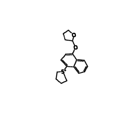 c1ccc2c([S+]3CCCC3)ccc(OC3CCCO3)c2c1